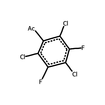 CC(=O)c1c(Cl)c(F)c(Cl)c(F)c1Cl